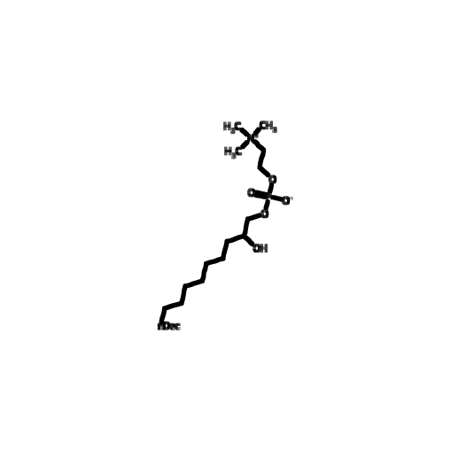 CCCCCCCCCCCCCCCCCC(O)COP(=O)([O-])OCC[N+](C)(C)C